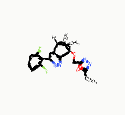 Cc1nnc(CO[C@@]23CC[C@@H](c4cc(-c5c(F)cccc5F)nnc42)C3(C)C)o1